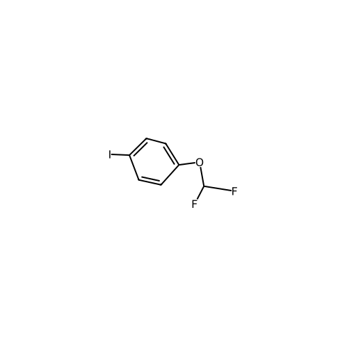 FC(F)Oc1ccc(I)cc1